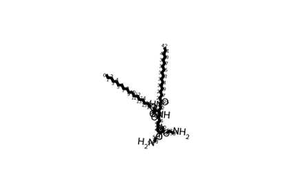 CCCCCCCCCCCCCCCCCCOC(=O)C(CNC(=O)CCCCCCCCCCCCCCCCC)NC(=O)CCN1C[C@H](OCCN)[C@H](OCCN)C1